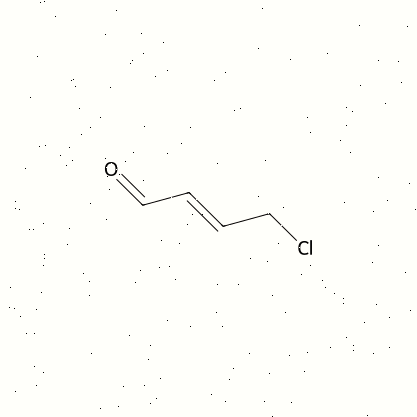 O=CC=CCCl